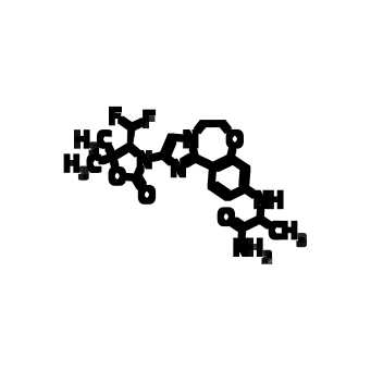 CC(Nc1ccc2c(c1)OCCn1cc(N3C(=O)OC(C)(C)[C@H]3C(F)F)nc1-2)C(N)=O